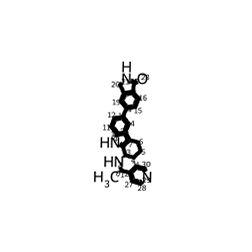 C[C@@H](N[C@@H]1CCCc2c1[nH]c1ccc(-c3ccc4c(c3)CNC4=O)cc21)c1ccncc1